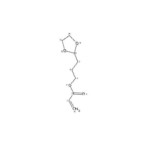 C=CC(=O)OCCCC1OCCO1